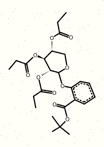 CCC(=O)O[C@H]1[C@H](OC(=O)CC)COC(Oc2ccccc2C(=O)OC(C)(C)C)[C@@H]1OC(=O)CC